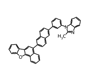 Cc1nc2ccccc2n1-c1cccc(-c2ccc3cc(-c4cc5c6ccccc6oc5c5ccccc45)ccc3c2)c1